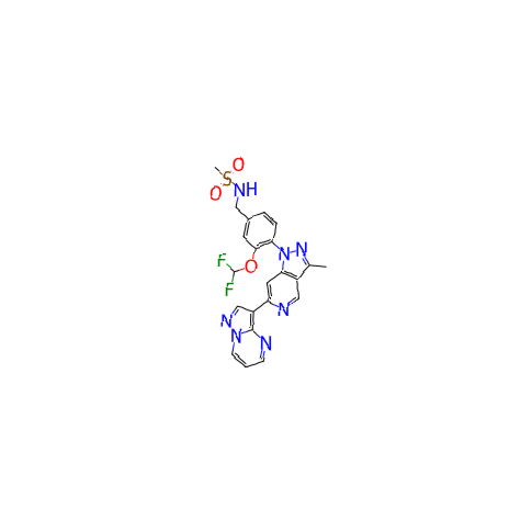 Cc1nn(-c2ccc(CNS(C)(=O)=O)cc2OC(F)F)c2cc(-c3cnn4cccnc34)ncc12